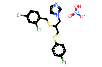 Clc1ccc(SCC(Cn2ccnc2)SCc2ccc(Cl)cc2Cl)cc1.O=[N+]([O-])O